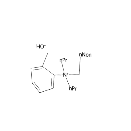 CCCCCCCCCC[N+](CCC)(CCC)c1ccccc1C.[OH-]